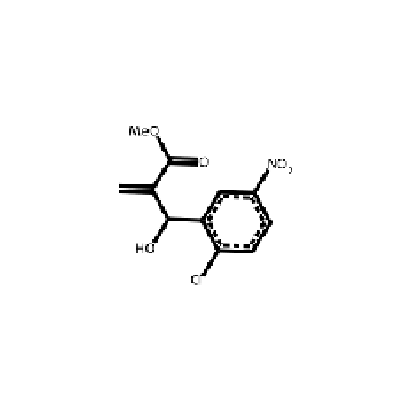 C=C(C(=O)OC)C(O)c1cc([N+](=O)[O-])ccc1Cl